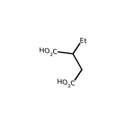 [CH2]CC(CC(=O)O)C(=O)O